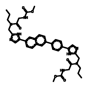 CCCN(Cc1ncc(-c2ccc(-c3ccc4cc(-c5cnc(CN(CCC)C(=O)CNC(=O)OC)[nH]5)ccc4c3)cc2)[nH]1)C(=O)CNC(=O)OC